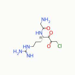 N=C(N)NCCC[C@H](NC(=O)CN)C(=O)C(=O)CCl